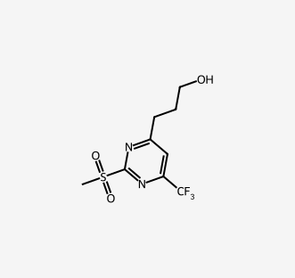 CS(=O)(=O)c1nc(CCCO)cc(C(F)(F)F)n1